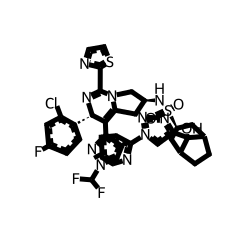 O=S(=O)(N[C@H]1CC2=C(c3ccn(C(F)F)n3)[C@H](c3ccc(F)cc3Cl)N=C(c3nccs3)N2C1)[C@H]1CC2CCC(C1)[C@]2(O)c1cn(-c2ccccn2)nn1